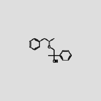 CC(Cc1ccccc1)OCC(C)(O)c1ccccc1